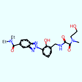 CCN(CC)C(=O)c1ccc2nn(-c3cccc(CNC(=O)C(=O)N(C)CCO)c3O)nc2c1